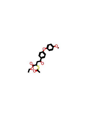 CCOC(=O)C(CC(=O)c1ccc(Oc2ccc(OC)cc2)cc1)SC(C)=O